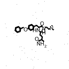 CC(C[CH]C(=O)NC(Cc1ccc(OCc2ccccc2)cc1)C(=O)NCCN(C)C)C(N)=O